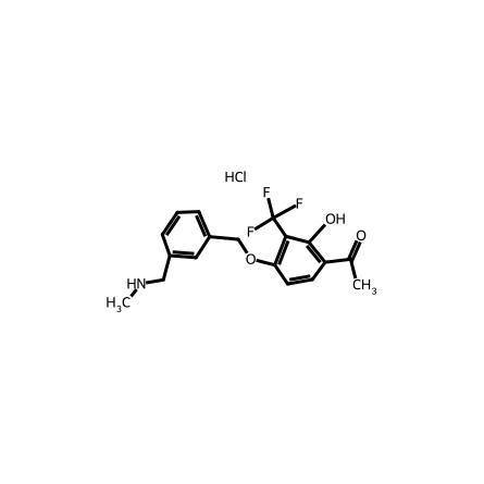 CNCc1cccc(COc2ccc(C(C)=O)c(O)c2C(F)(F)F)c1.Cl